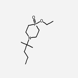 CCCC(C)(C)N1CCP(=O)(OCC)CC1